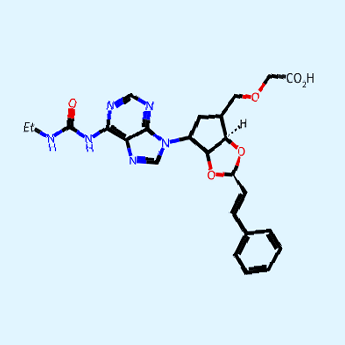 CCNC(=O)Nc1ncnc2c1ncn2C1CC(COCC(=O)O)[C@H]2O[C@@H](C=Cc3ccccc3)OC12